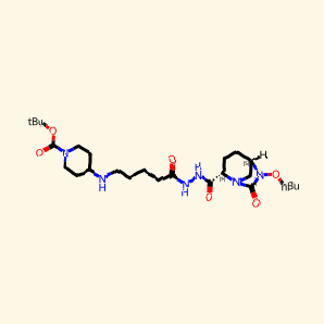 CCCCON1C(=O)N2C[C@@H]1CC[C@H]2C(=O)NNC(=O)CCCCNC1CCN(C(=O)OC(C)(C)C)CC1